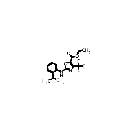 CCOC(=O)c1oc(Nc2ccccc2C(C)C)nc1C(F)(F)F